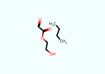 CCCC.O=CC(=O)OCCO